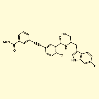 CNC(=O)c1cccc(C#Cc2ccc(Cl)c(C(=O)NC(CO)Cc3c[nH]c4cc(F)ccc34)c2)c1